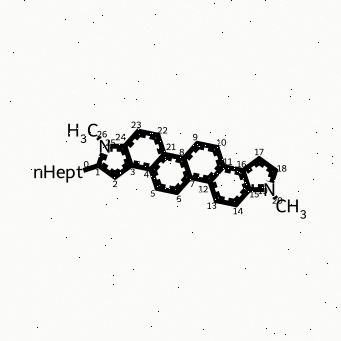 CCCCCCCc1cc2c3ccc4c(ccc5c4ccc4c5ccn4C)c3ccc2n1C